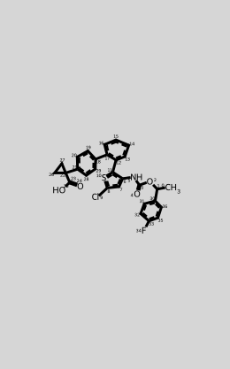 CC(OC(=O)Nc1cc(Cl)sc1-c1ccccc1-c1ccc(C2(C(=O)O)CC2)cc1)c1ccc(F)cc1